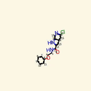 O=C(NCCOc1ccccc1)c1cc2cc(Cl)ncc2[nH]1